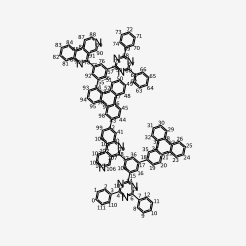 c1ccc(-c2nc(-c3ccccc3)nc(-c3cc(-c4ccc5c6ccccc6c6ccccc6c5c4)cc(-c4nc5cc(-c6ccc7c8ccccc8c8c(-c9cc(-c%10nc(-c%11ccccc%11)nc(-c%11ccccc%11)n%10)cc(-c%10nc%11ccccc%11c%11ccncc%10%11)c9)cccc8c7c6)ccc5c5ccncc45)c3)n2)cc1